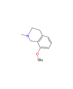 CN1CCc2cccc(OC(C)(C)C)c2C1